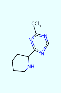 ClC(Cl)(Cl)c1ncnc(C2CCCCN2)n1